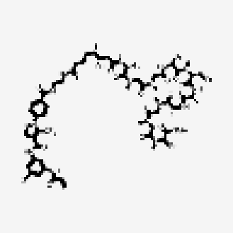 C=CC(=O)Nc1cc(Cl)cc(NC(=O)c2cnn(-c3ccc(C(=O)NCCNC(=O)CCC[C@@H](C)[C@@H](O)CC(=O)N[C@@H](CC)C(=O)N(C)CC(=O)N(C)CC(=O)NC(C(=O)N(C)[C@@H](CC(C)C)C(=O)N[C@@H](C)C(=O)N[C@H](C)C(=O)N(C)CC(=O)N(C)CC(=O)N(C)C(C(=O)NC)C(C)C)C(C)C)cc3)c2C(F)(F)F)c1